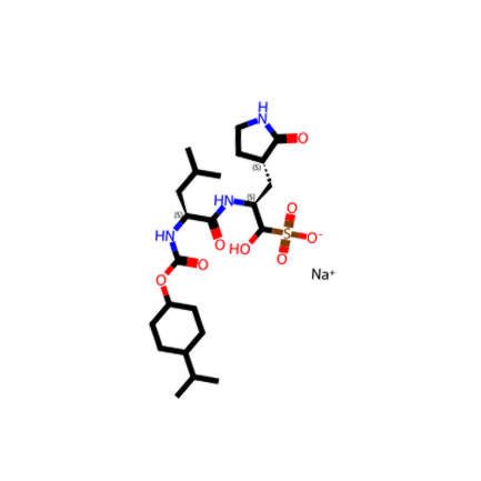 CC(C)C[C@H](NC(=O)OC1CCC(C(C)C)CC1)C(=O)N[C@@H](C[C@@H]1CCNC1=O)C(O)S(=O)(=O)[O-].[Na+]